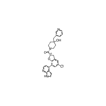 O=C([C@H]1Cc2cc(Cl)cc(-c3ccnc4[nH]ccc34)c2O1)N1CCC(O)(Cc2cccnc2)CC1